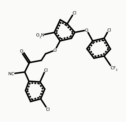 N#CC(C(=O)CCOc1cc(Oc2ccc(C(F)(F)F)cc2Cl)c(Cl)cc1[N+](=O)[O-])c1ccc(Cl)cc1Cl